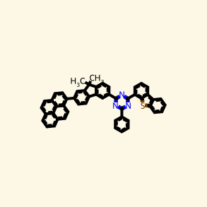 CC1(C)c2ccc(-c3nc(-c4ccccc4)nc(-c4cccc5c4sc4ccccc45)n3)cc2-c2ccc(-c3ccc4ccc5cccc6ccc3c4c56)cc21